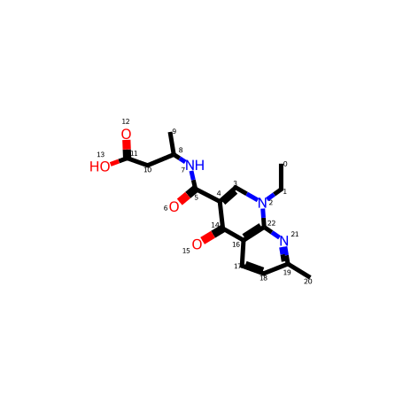 CCn1cc(C(=O)NC(C)CC(=O)O)c(=O)c2ccc(C)nc21